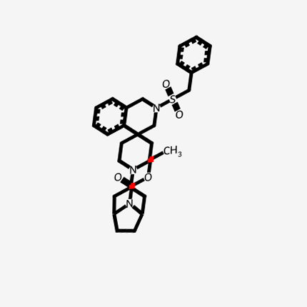 CCOC(=O)N1C2CCC1CC(N1CCC3(CC1)CN(S(=O)(=O)Cc1ccccc1)Cc1ccccc13)C2